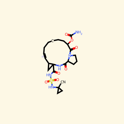 N#CC1(NS(=O)(=O)NC(=O)C23CC2/C=C\CCCCCC(OC(N)=O)C(=O)N2CCCC2C(=O)N3)CC1